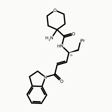 CC(C)C[C@@H](C=CC(=O)N1CCc2ccccc21)NC(=O)C1(N)CCOCC1